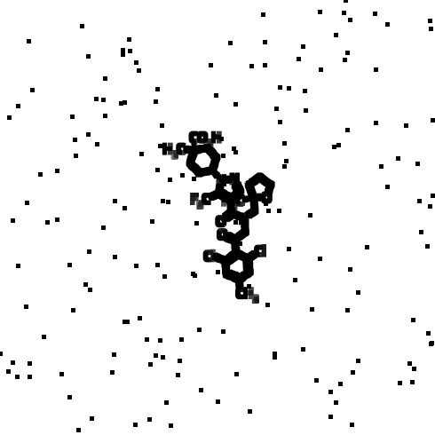 Cc1cc(Cl)c(C(=O)CN(C[C@]2(C)CCCO2)C(=O)c2cnn([C@H]3CC[C@](C)(C(=O)O)CC3)c2C(F)(F)F)c(Cl)c1